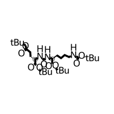 CC(C)(C)OC(=O)CC[C@H](NC(=O)N[C@@H](CCCCNC(=O)OC(C)(C)C)C(=O)OC(C)(C)C)C(=O)OC(C)(C)C